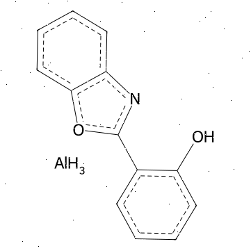 Oc1ccccc1-c1nc2ccccc2o1.[AlH3]